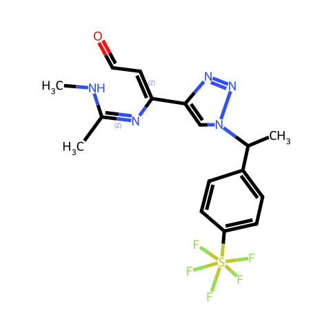 CN/C(C)=N\C(=C/C=O)c1cn(C(C)c2ccc(S(F)(F)(F)(F)F)cc2)nn1